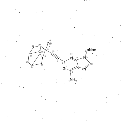 CCCCCCCCCn1cnc2c(N)nc(C#CC3(O)C4CC5CC(C4)CC3C5)nc21